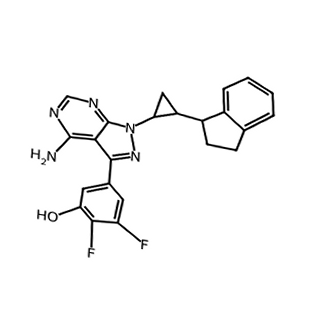 Nc1ncnc2c1c(-c1cc(O)c(F)c(F)c1)nn2C1CC1C1CCc2ccccc21